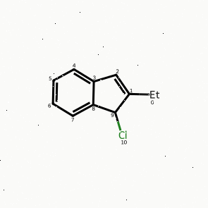 CCC1=Cc2ccccc2C1Cl